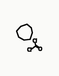 C1CCCCCCC1.O=C(Cl)Cl